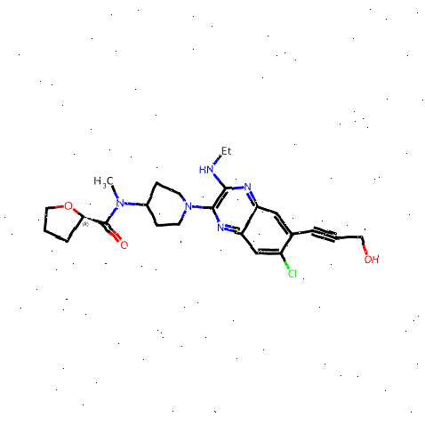 CCNc1nc2cc(C#CCO)c(Cl)cc2nc1N1CCC(N(C)C(=O)[C@H]2CCCO2)CC1